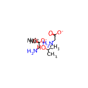 CC(C)O.NCC(=O)[O-].NCC(=O)[O-].[Na+].[Na+]